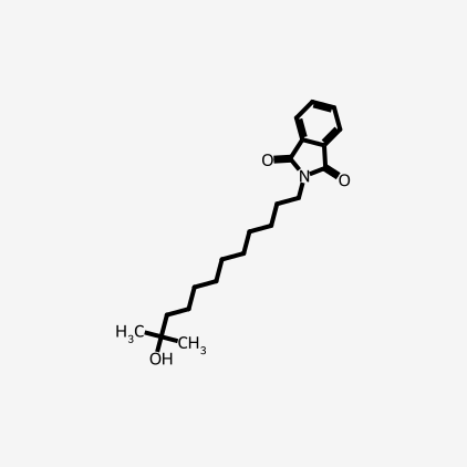 CC(C)(O)CCCCCCCCCCN1C(=O)c2ccccc2C1=O